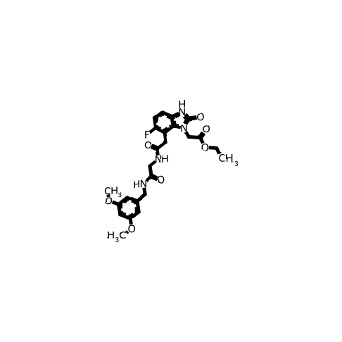 CCOC(=O)Cn1c(=O)[nH]c2ccc(F)c(CC(=O)NCC(=O)NCc3cc(OC)cc(OC)c3)c21